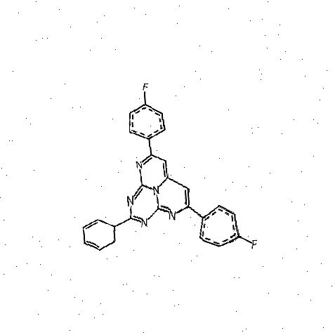 Fc1ccc(C2=CC3=CC(c4ccc(F)cc4)=NC4=NC(C5C=CC=CC5)=NC(=N2)N34)cc1